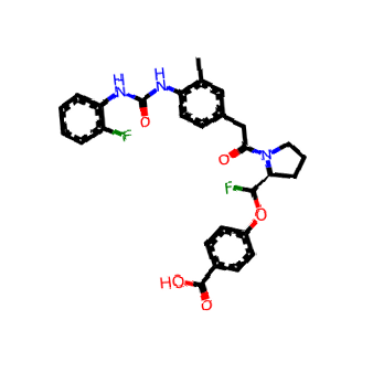 Cc1cc(CC(=O)N2CCC[C@H]2C(F)Oc2ccc(C(=O)O)cc2)ccc1NC(=O)Nc1ccccc1F